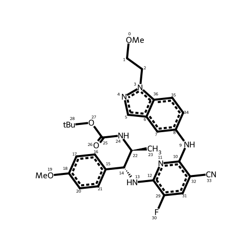 COCCn1ncc2cc(Nc3nc(N[C@H](c4ccc(OC)cc4)[C@H](C)NC(=O)OC(C)(C)C)c(F)cc3C#N)ccc21